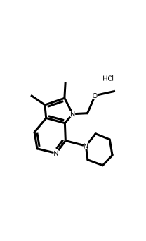 COCn1c(C)c(C)c2ccnc(N3CCCCC3)c21.Cl